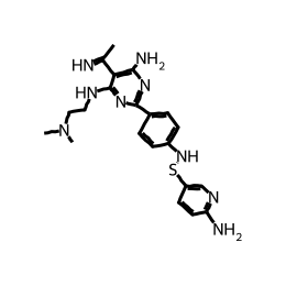 CC(=N)c1c(N)nc(-c2ccc(NSc3ccc(N)nc3)cc2)nc1NCCN(C)C